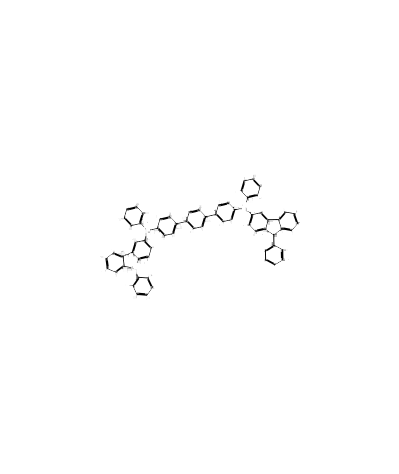 c1ccc(C2c3ccccc3-c3cc(N(c4ccccc4)c4ccc(-c5ccc(-c6ccc(N(c7ccccc7)c7ccc8c(c7)c7ccccc7n8-c7ccccc7)cc6)cc5)cc4)ccc32)cc1